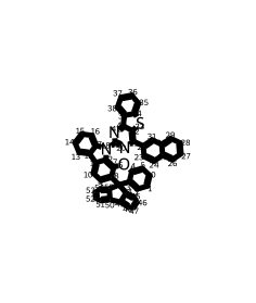 c1ccc2c(c1)Oc1c(ccc3c4ccccc4n(-c4nc(-c5ccc6ccccc6c5)c5sc6ccccc6c5n4)c13)C21c2ccccc2-c2ccccc21